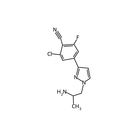 CC(N)Cn1ccc(-c2cc(F)c(C#N)c(Cl)c2)n1